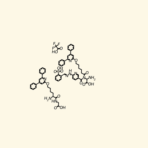 NC(C(=O)O)N(C(=O)CCCCCOc1cc(-c2ccccc2)cc(-c2ccccc2)n1)C(=O)c1ccc(NN=Cc2ccccc2S(=O)(=O)O)nc1.NC(CCCCOc1cc(-c2ccccc2)cc(-c2ccccc2)n1)C(=O)NCC(=O)O.O=C(O)C(F)(F)F